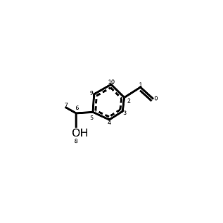 C=Cc1ccc(C(C)O)cc1